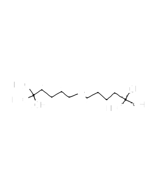 CC(C)(C)CCCCOCCCCC(C)(C)C